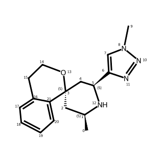 C[C@H]1C[C@@]2(C[C@@H](c3cn(C)nn3)N1)OCCc1ccccc12